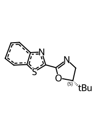 CC(C)(C)[C@H]1CN=C(c2nc3ccccc3s2)O1